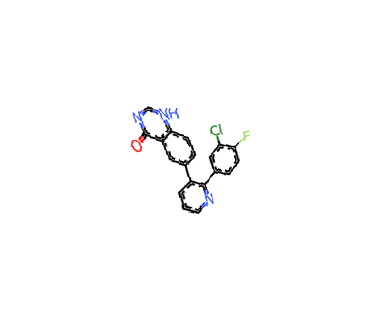 O=c1nc[nH]c2ccc(-c3cccnc3-c3ccc(F)c(Cl)c3)cc12